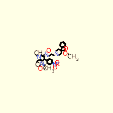 CCOC(=O)C1(c2ccccc2)CCN(CCCN(C=O)C2=CN(CC)C(CC)=C(N(C=O)CC)C2c2ccc([N+](=O)[O-])cc2)CC1